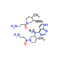 CC1CCN(C(=O)CCN)CC1N(C)c1ncnc2[nH]ccc12.CNC1CN(C(=O)CCN)CCC1C